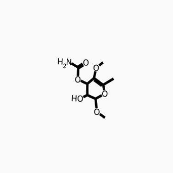 COC1=C(C)OC(OC)C(O)C1OC(N)=O